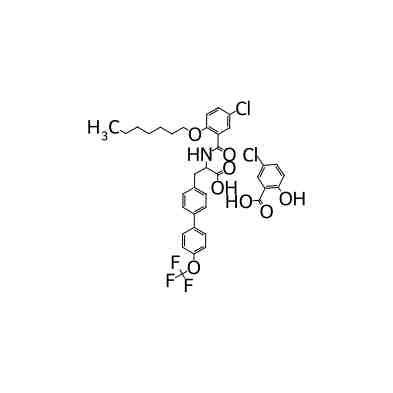 CCCCCCCOc1ccc(Cl)cc1C(=O)NC(Cc1ccc(-c2ccc(OC(F)(F)F)cc2)cc1)C(=O)O.O=C(O)c1cc(Cl)ccc1O